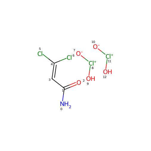 NC(=O)C=C(Cl)Cl.[O-][Cl+]O.[O-][Cl+]O